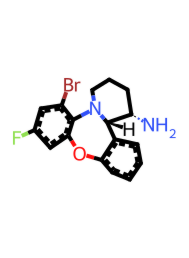 N[C@H]1CCCN2c3c(Br)cc(F)cc3Oc3ccccc3[C@@H]12